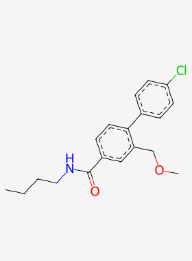 CCCCNC(=O)c1ccc(-c2ccc(Cl)cc2)c(COC)c1